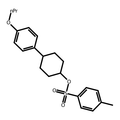 CCCOc1ccc(C2CCC(OS(=O)(=O)c3ccc(C)cc3)CC2)cc1